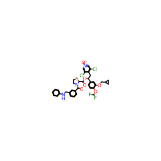 O=C(OC(Cc1c(Cl)c[n+]([O-])cc1Cl)c1ccc(OC(F)F)c(OCC2CC2)c1)C1SCCN1C(=O)c1cccc(CNc2ccccc2)c1